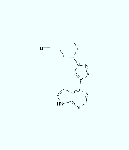 CCC(CCC#N)n1cc(-c2ncnc3[nH]ccc23)cn1